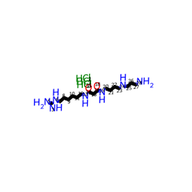 Cl.Cl.Cl.N=C(N)NCCCCCCNC(=O)CC(=O)NCCCCNCCCN